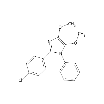 COc1nc(-c2ccc(Cl)cc2)n(-c2ccccc2)c1OC